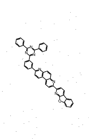 c1ccc(-c2nc(-c3ccccc3)nc(-c3cccc(-c4ccc5c(ccc6nc(-c7ccc8c(n7)oc7ccccc78)ccc65)n4)c3)n2)cc1